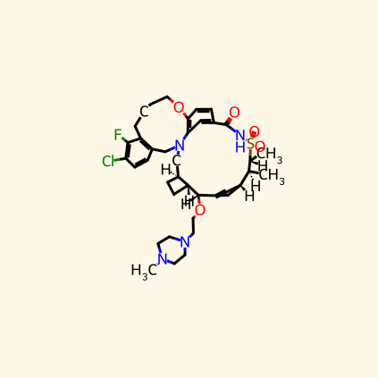 C[C@@H]1[C@@H](C)S(=O)(=O)NC(=O)c2ccc3c(c2)N(Cc2ccc(Cl)c(F)c2CCCCO3)C[C@@H]2CC[C@H]2[C@@H](OCCN2CCN(C)CC2)C2=C[C@H]1C2